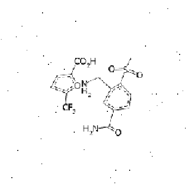 CS(=O)(=O)c1ccc(C(N)=O)cc1CN.O=C(O)c1ccc(C(F)(F)F)o1